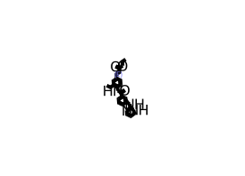 CCOC(=O)/C=C/c1ccc(NC(=O)c2cccc(NC3=NCCCN3)c2)c(CC)c1